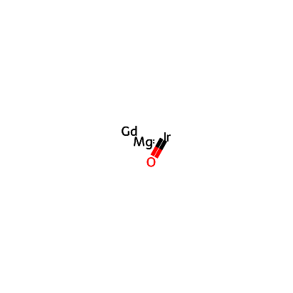 [Gd].[Mg].[O]=[Ir]